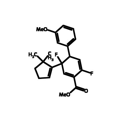 COC(=O)C1=CC(F)(C2=CCCC2(C)C)C(c2cccc(OC)c2)C=C1F